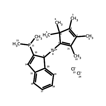 CC1=C(C)C(C)(C)[C]([Ti+2][CH]2C(P(C)C)=Cc3ccccc32)=C1C.[Cl-].[Cl-]